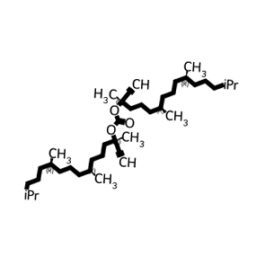 C#C[C@@](C)(CCC[C@H](C)CCC[C@H](C)CCCC(C)C)OC(=O)O[C@@](C)(C#C)CCC[C@H](C)CCC[C@H](C)CCCC(C)C